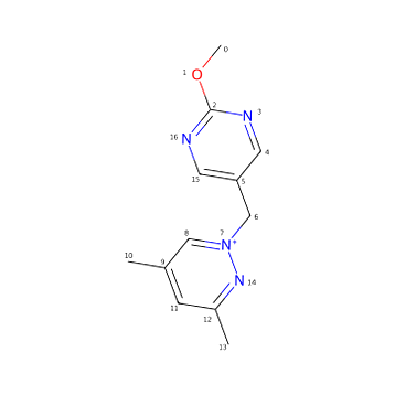 COc1ncc(C[n+]2cc(C)cc(C)n2)cn1